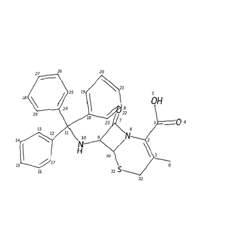 CC1=C(C(=O)O)N2C(=O)C(NC(c3ccccc3)(c3ccccc3)c3ccccc3)C2SC1